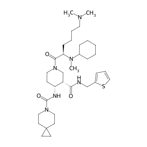 CN(C)CCCC[C@H](C(=O)N1CC[C@@H](NC(=O)N2CCC3(CC2)CC3)[C@@H](C(=O)NCc2cccs2)C1)N(C)C1CCCCC1